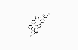 CCOC(=O)C1CCN(c2cccc(-c3cc(F)cc(F)c3OCc3ccc(C4CCN(C(=O)CC#N)CC4)cc3C)n2)CC1